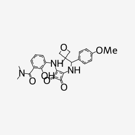 COc1ccc(C(Nc2c(Nc3cccc(C(=O)N(C)C)c3O)c(=O)c2=O)C2(C)COC2)cc1